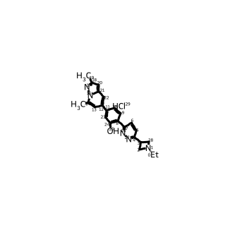 CCN1CC(c2ccc(-c3ccc(-c4cc(C)n5nc(C)cc5c4)cc3O)nn2)C1.Cl